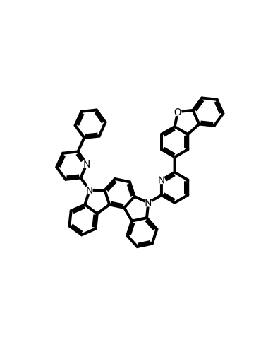 c1ccc(-c2cccc(-n3c4ccccc4c4c5c6ccccc6n(-c6cccc(-c7ccc8oc9ccccc9c8c7)n6)c5ccc43)n2)cc1